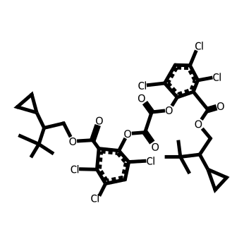 CC(C)(C)C(COC(=O)c1c(Cl)c(Cl)cc(Cl)c1OC(=O)C(=O)Oc1c(Cl)cc(Cl)c(Cl)c1C(=O)OCC(C1CC1)C(C)(C)C)C1CC1